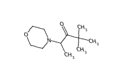 CC(C(=O)C(C)(C)C)N1CCOCC1